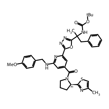 COc1ccc(CNc2cc(C(=O)N3CCC[C@@H]3c3nc(C)cs3)cc(-c3nnc(C(C)(Cc4ccccc4)NC(=O)OC(C)(C)C)o3)n2)cc1